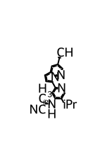 C#Cc1cnn2c(-c3cc(N[C@H](C)C#N)c(C(C)C)cn3)ccc2c1